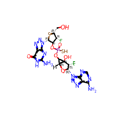 Nc1nc2c(nnn2[C@@H]2S[C@H](CO)[C@H](F)[C@H]2OP(=O)(S)OC2[C@H]3O[C@@H](n4nnc5c(N)ncnc54)[C@@H](F)[C@@]23O)c(=O)[nH]1